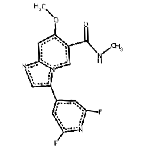 CNC(=O)c1cn2c(-c3cc(F)nc(F)c3)cnc2cc1OC